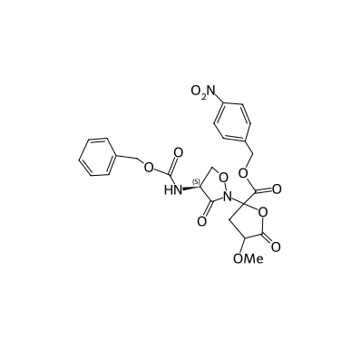 COC1CC(C(=O)OCc2ccc([N+](=O)[O-])cc2)(N2OC[C@H](NC(=O)OCc3ccccc3)C2=O)OC1=O